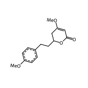 COC1=CC(=O)OC(CCc2ccc(OC)cc2)C1